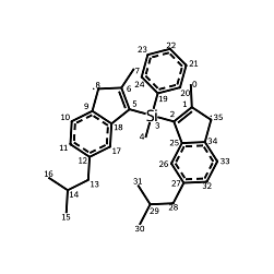 CC1=C([Si](C)(C2=C(C)[CH]c3ccc(CC(C)C)cc32)c2ccccc2)c2cc(CC(C)C)ccc2[CH]1